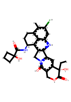 CC[C@@]1(O)C(=O)OCc2c1cc1n(c2=O)Cc2c-1nc1cc(F)c(C)c3c1c2[C@@H](NC(=O)C1(O)CCC1)CC3